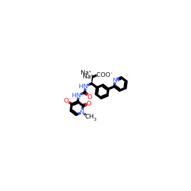 Cn1ccc([O-])c(NC(=O)N[C@@H](CC(=O)[O-])c2cccc(-c3ccccn3)c2)c1=O.[Na+].[Na+]